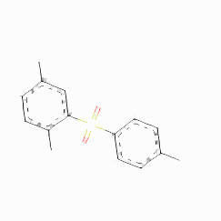 O=C(O)c1ccc(S(=O)(=O)c2cc(C(=O)O)ccc2C(=O)O)cc1